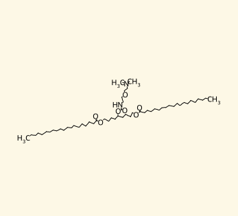 CCCCCCCCCCCCCCCCCCCC(=O)OCCCCC(CCCCOC(=O)CCCCCCCCCCCCCCCCCCC)OC(=O)NCCOCCN(C)C